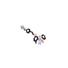 CCON=Cc1ccc(CCOc2ccc(C)c(NS(=O)(=O)c3ccccc3)c2)cc1